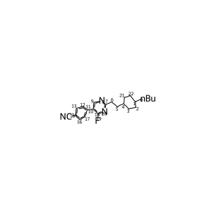 CCCCC1CCC(CCc2ncc(-c3ccc(C#N)cc3)c(F)n2)CC1